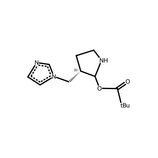 CC(C)(C)C(=O)OC1NCC[C@H]1Cn1ccnc1